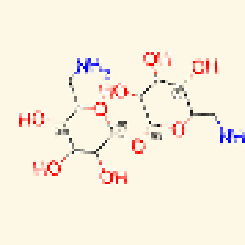 NCC1O[C@H](O[C@H]2OC(CN)[C@@H](O)C(O)C2O)C(O)C(O)[C@@H]1O